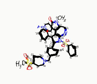 CN1C(=O)C2(CCNCC2)c2c1cnc1c2c(-c2ccccc2)c(-c2ccc(CN3CCC(S(C)(=O)=O)CC3)cc2)n1S(=O)(=O)c1ccccc1